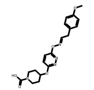 COc1ccc(CC=NOc2ccc(OC3CCN(C(=O)O)CC3)nn2)cc1